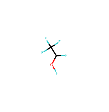 FOC(F)C(F)(F)F